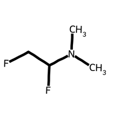 CN(C)C(F)CF